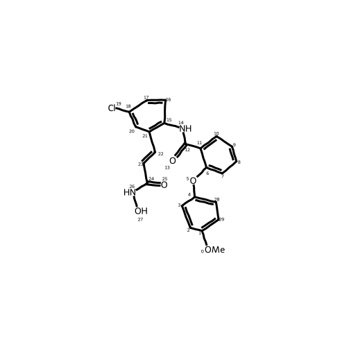 COc1ccc(Oc2ccccc2C(=O)Nc2ccc(Cl)cc2/C=C/C(=O)NO)cc1